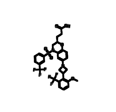 COc1cccc(C(F)(F)F)c1C1CN(c2ccc3c(c2)N(S(=O)(=O)c2cccc(C(F)(F)F)c2)C[C@@H](CCC(=O)O)O3)C1